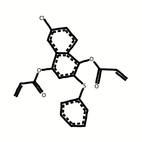 C=CC(=O)Oc1cc(Sc2ccccc2)c(OC(=O)C=C)c2ccc(Cl)cc12